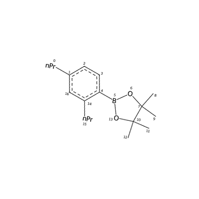 CCCc1ccc(B2OC(C)(C)C(C)(C)O2)c(CCC)c1